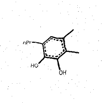 CCCc1cc(C)c(C)c(O)c1O